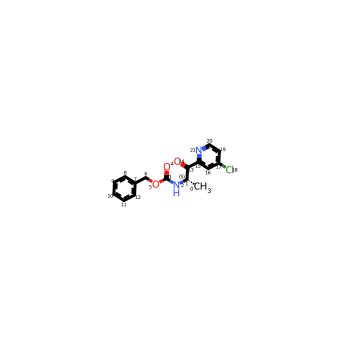 C[C@H](NC(=O)OCc1ccccc1)C(=O)c1cc(Cl)ccn1